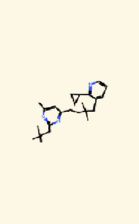 Cc1cc(CCC(C)(C)Cc2cccnc2C2CC2)nc(CC(C)(C)C)n1